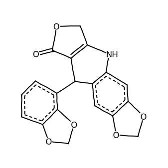 O=C1OCC2=C1C(c1cccc3c1OCO3)c1cc3c(cc1N2)OCO3